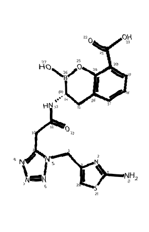 Nc1nc(Cn2nnnc2CC(=O)N[C@H]2Cc3cccc(C(=O)O)c3OB2O)cs1